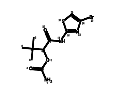 CC(C)(C)C(OC(N)=O)C(=O)Nc1nc(Br)cs1